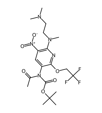 CC(=O)N(C(=O)OC(C)(C)C)c1cc([N+](=O)[O-])c(N(C)CCN(C)C)nc1OCC(F)(F)F